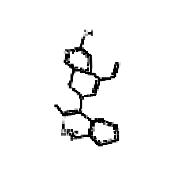 C=C/C(C)=C/N(Sc1ccc(O)nc1)/C(=C(\C)OC)c1ccccc1F